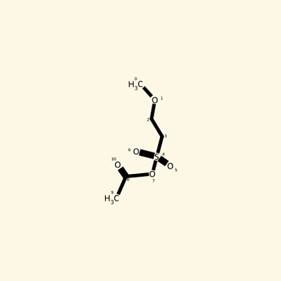 COCCS(=O)(=O)OC(C)=O